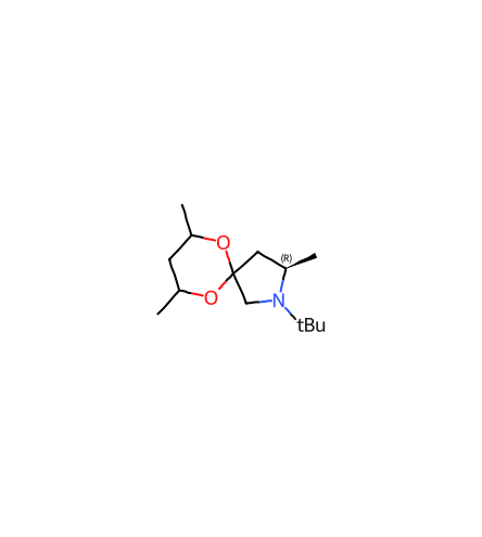 CC1CC(C)OC2(C[C@@H](C)N(C(C)(C)C)C2)O1